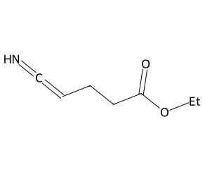 CCOC(=O)CCC=C=N